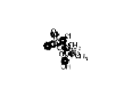 Cn1cc(N(C(=O)c2cc(-c3cc(Cl)ccc3C(=O)N3Cc4ccccc4C[C@H]3CN3CCOCC3)n(C)c2C(F)(F)F)c2ccc(O)cc2)cn1